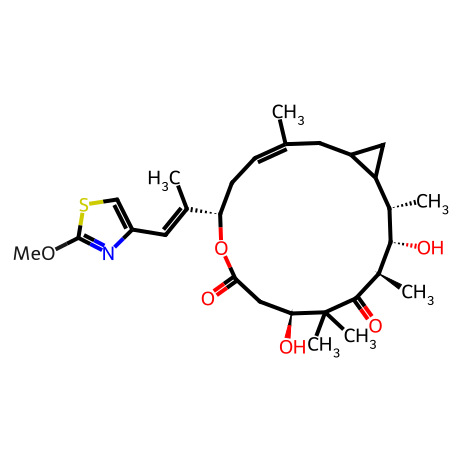 COc1nc(/C=C(\C)[C@@H]2C/C=C(/C)CC3CC3[C@H](C)[C@H](O)[C@@H](C)C(=O)C(C)(C)[C@@H](O)CC(=O)O2)cs1